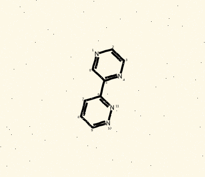 [c]1nccnc1-c1[c]ccnn1